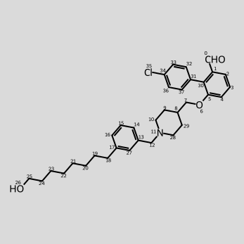 O=Cc1cccc(OCC2CCN(Cc3cccc(CCCCCCCCO)c3)CC2)c1-c1ccc(Cl)cc1